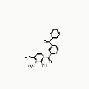 Cc1ccc(C(=O)c2cccc(C(=O)c3ccccc3)c2)c(C)c1C